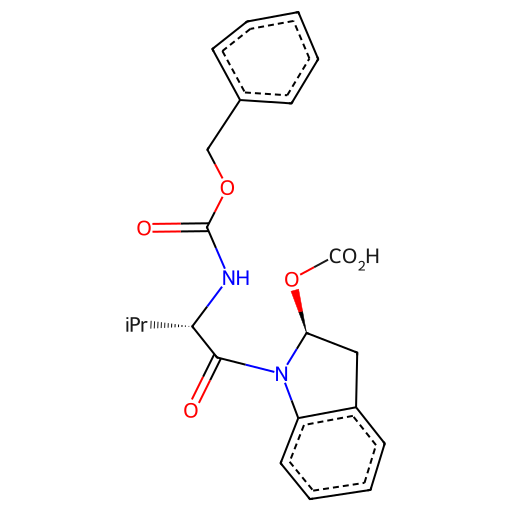 CC(C)[C@H](NC(=O)OCc1ccccc1)C(=O)N1c2ccccc2C[C@@H]1OC(=O)O